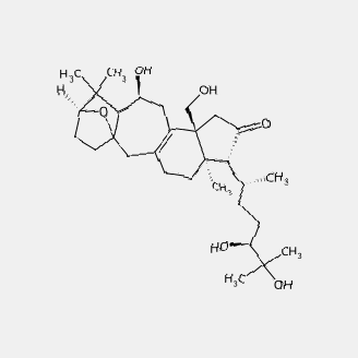 C[C@H](CC[C@H](O)C(C)(C)O)[C@H]1C(=O)C[C@@]2(CO)C3=C(CC[C@]12C)CC12CC[C@H](O1)C(C)(C)C2[C@@H](O)C3